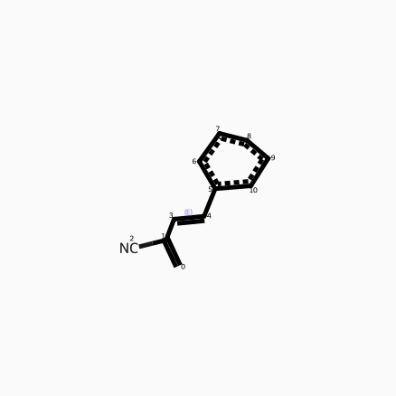 C=C(C#N)/C=C/c1ccccc1